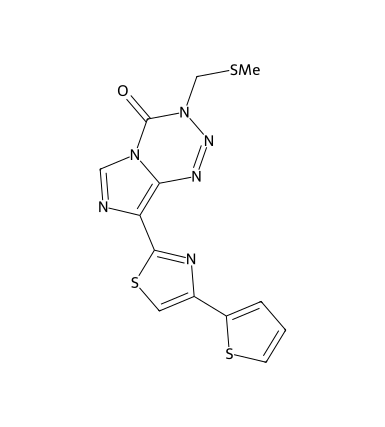 CSCn1nnc2c(-c3nc(-c4cccs4)cs3)ncn2c1=O